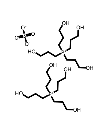 O=S(=O)([O-])[O-].OCCC[P+](CCCO)(CCCO)CCCO.OCCC[P+](CCCO)(CCCO)CCCO